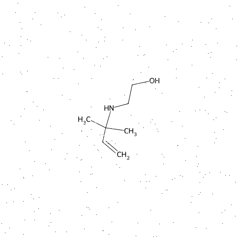 C=CC(C)(C)NCCO